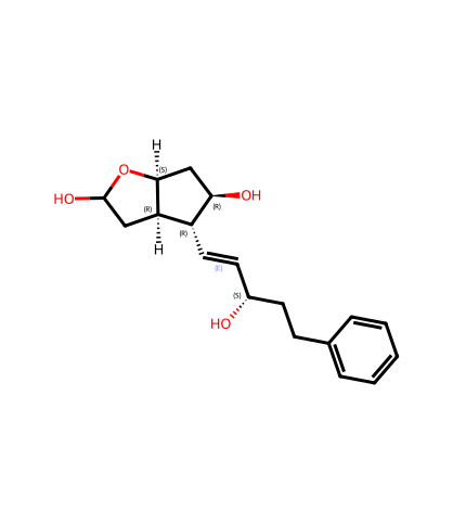 OC1C[C@@H]2[C@@H](/C=C/[C@@H](O)CCc3ccccc3)[C@H](O)C[C@@H]2O1